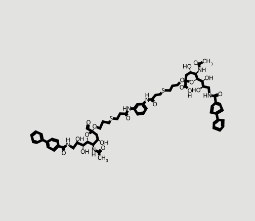 CC(=O)N[C@H]1[C@H]([C@H](O)[C@H](O)CNC(=O)c2ccc(-c3ccccc3)cc2)O[C@](C=O)(OCCCSCCC(=O)Nc2cccc(NC(=O)CCSCCCO[C@]3(C(=O)O)C[C@H](O)[C@@H](NC(C)=O)[C@H]([C@H](O)[C@H](O)CNC(=O)c4ccc(-c5ccccc5)cc4)O3)c2)C[C@@H]1O